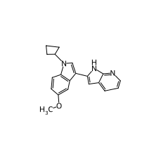 COc1ccc2c(c1)c(-c1cc3cccnc3[nH]1)cn2C1CCC1